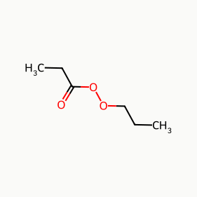 CCCOOC(=O)CC